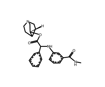 CNC(=O)c1cccc(NC(C(=O)O[C@H]2CN3CCC2CC3)c2ccccc2)c1